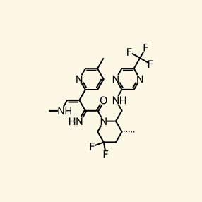 CN/C=C(\C(=N)C(=O)N1CC(F)(F)C[C@@H](C)C1CNc1cnc(C(F)(F)F)cn1)c1ccc(C)cn1